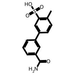 Cc1ccc(-c2[c]ccc(C(N)=O)c2)cc1S(=O)(=O)O